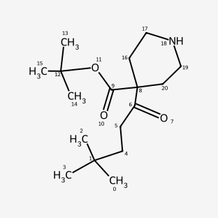 CC(C)(C)CCC(=O)C1(C(=O)OC(C)(C)C)CCNCC1